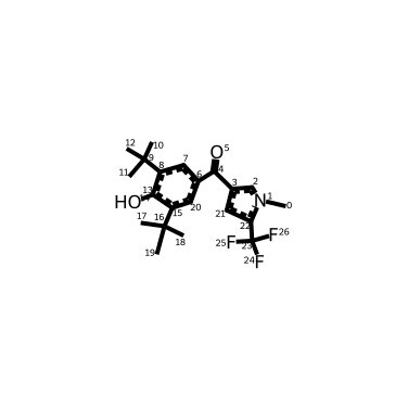 Cn1cc(C(=O)c2cc(C(C)(C)C)c(O)c(C(C)(C)C)c2)cc1C(F)(F)F